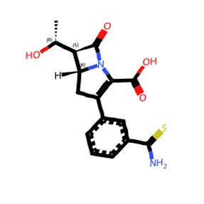 C[C@@H](O)[C@H]1C(=O)N2C(C(=O)O)=C(c3cccc(C(N)=S)c3)C[C@H]12